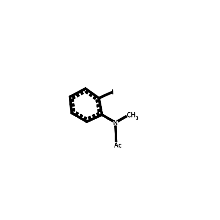 CC(=O)N(C)c1ccccc1I